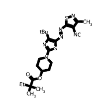 [C-]#[N+]c1c(C)nsc1/N=N/c1sc(N2CCC(OC(=O)C(C)(C)CC)CC2)nc1C(C)(C)C